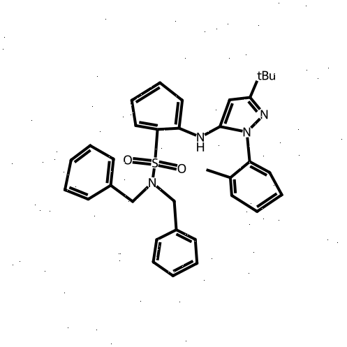 Cc1ccccc1-n1nc(C(C)(C)C)cc1Nc1ccccc1S(=O)(=O)N(Cc1ccccc1)Cc1ccccc1